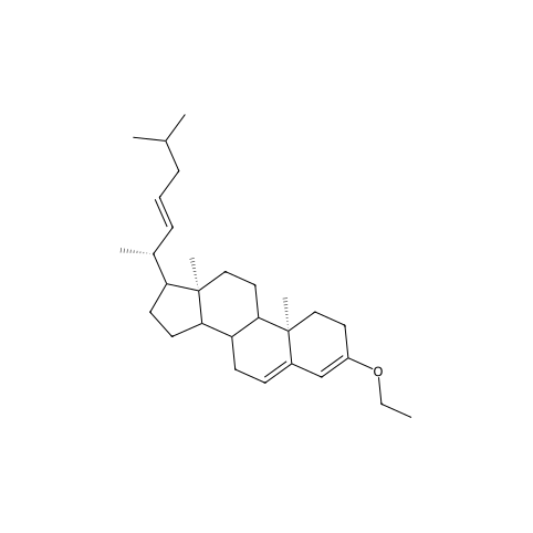 CCOC1=CC2=CCC3C4CCC([C@H](C)/C=C/CC(C)C)[C@@]4(C)CCC3[C@@]2(C)CC1